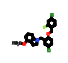 O=C(O)Oc1cccc2c1ccn2Cc1cc(Cl)ccc1OCc1ccc(Cl)cc1F